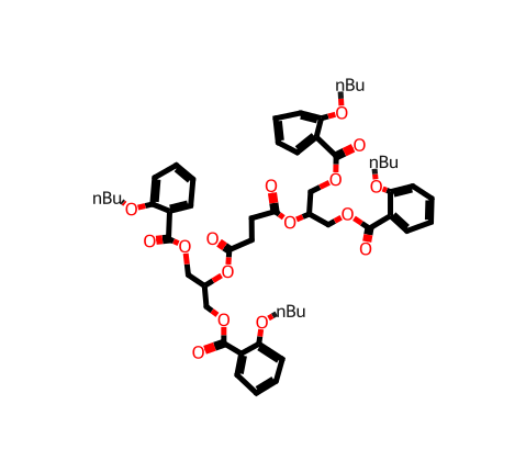 CCCCOc1ccccc1C(=O)OCC(COC(=O)c1ccccc1OCCCC)OC(=O)CCC(=O)OC(COC(=O)c1ccccc1OCCCC)COC(=O)c1ccccc1OCCCC